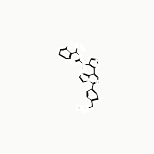 CC(OC(=O)Nc1cnoc1-c1cnc(-c2ccc(CC(=O)O)cc2)n2ccnc12)c1ccccc1Cl